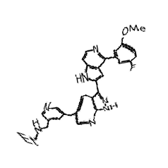 CCNCc1cncc(-c2cnc3[nH]nc(-c4cc5c(-c6cc(F)cc(OC)c6)nccc5[nH]4)c3c2)c1